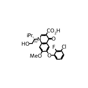 COc1cc2c(cc1Oc1cccc(Cl)c1F)c(=O)c(C(=O)O)cn2[C@H](CO)C(C)C